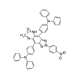 C=Nc1c(NC)c(-c2ccc(N(c3ccccc3)c3ccccc3)cc2)c2nn(-c3ccc([N+](=O)[O-])cc3)nc2c1-c1ccc(N(c2ccccc2)c2ccccc2)cc1